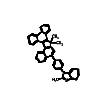 Cc1nc2ccccc2n1-c1ccc(-c2cc3c(c4ccccc24)-c2c(c4ccccc4c4ccccc24)C3(C)C)cc1